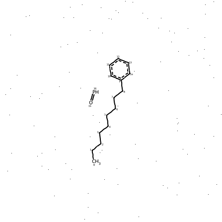 CCCCCCCCCc1ccccc1.O=P